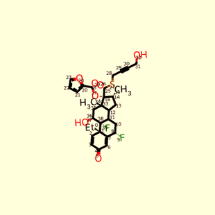 CC[C@]12C=CC(=O)C=C1[C@@H](F)CC1C3C[C@@H](C)[C@](OC(=O)c4ccco4)(C(=O)SCC#CCO)[C@@]3(C)C[C@H](O)[C@@]12F